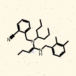 CC/C=C(/NCc1cccc(C)c1C)N(Cc1ccccc1C#N)C(CCC)CCC